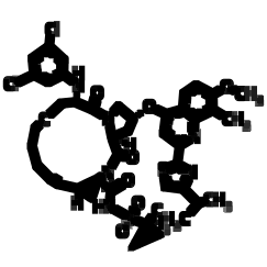 COc1ccc2c(O[C@@H]3C[C@H]4C(=O)N[C@]5(C(=O)NS(=O)(=O)C6(C)CC6)C[C@H]5/C=C\CCCCC[C@H](Nc5cc(Cl)cc(Cl)c5)C(=O)N4C3)cc(-c3nc(C(C)C)cs3)nc2c1C